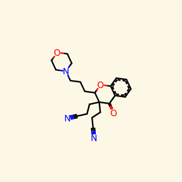 N#CCCC1(CCC#N)C(=O)c2ccccc2OC1CCCN1CCOCC1